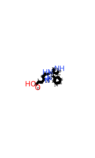 O=C(O)/C=C/c1ccc(N[C@]2(Cc3ccccc3)CCNC2)nn1